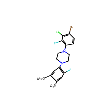 COc1cc(N2CCN(c3ccc(Br)c(Cl)c3F)CC2)c(F)cc1[N+](=O)[O-]